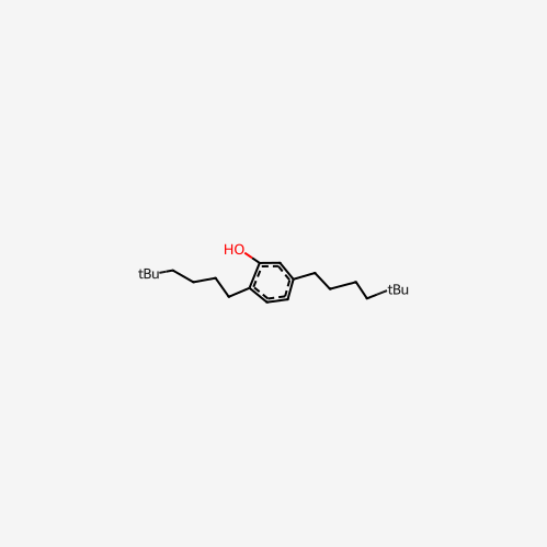 CC(C)(C)CCCCc1ccc(CCCCC(C)(C)C)c(O)c1